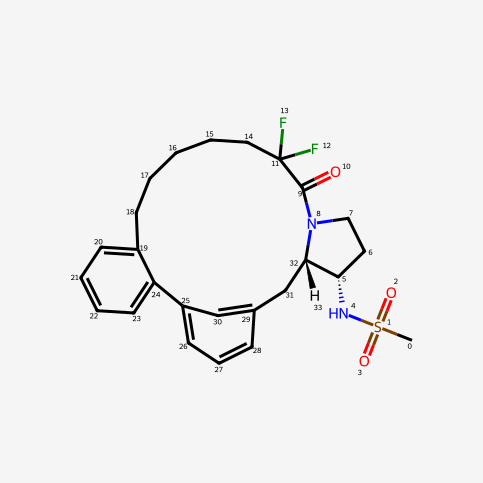 CS(=O)(=O)N[C@H]1CCN2C(=O)C(F)(F)CCCCCc3ccccc3-c3cccc(c3)C[C@@H]12